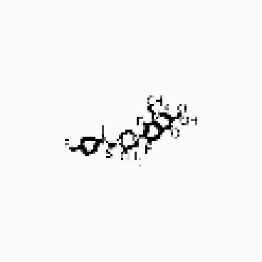 CCn1cc(C(=O)O)c(=O)c2cc(F)c(N3CCN(C(=S)Nc4ccc(CF)cc4)C(C)C3)c(F)c21